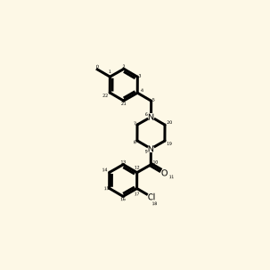 Cc1ccc(CN2CCN(C(=O)c3ccccc3Cl)CC2)cc1